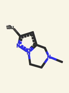 CN1CCn2nc(C(C)(C)C)cc2C1